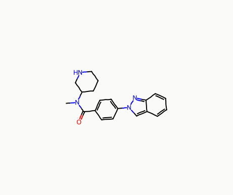 CN(C(=O)c1ccc(-n2cc3ccccc3n2)cc1)C1CCCNC1